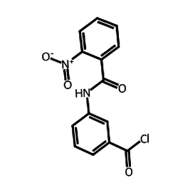 O=C(Cl)c1cccc(NC(=O)c2ccccc2[N+](=O)[O-])c1